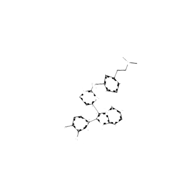 CN(C)CCc1cccc(Nc2nccc(-c3c(-c4ccc(N)c([N+](=O)[O-])c4)nc4ccccn34)n2)c1